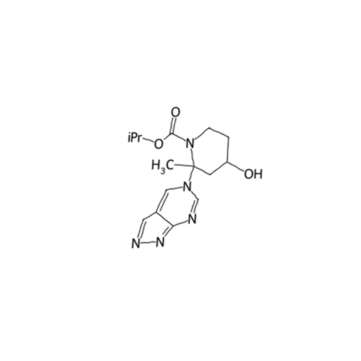 CC(C)OC(=O)N1CCC(O)CC1(C)n1cnc2nncc-2c1